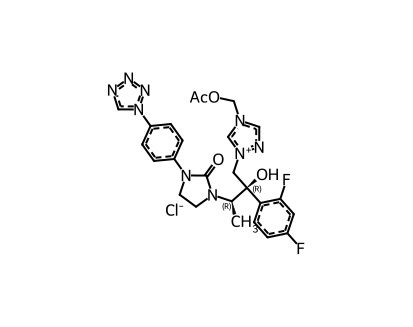 CC(=O)OCn1cn[n+](C[C@](O)(c2ccc(F)cc2F)[C@@H](C)N2CCN(c3ccc(-n4cnnn4)cc3)C2=O)c1.[Cl-]